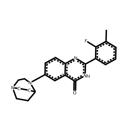 Cc1cccc(-c2nc3ccc(N4CCN5CCC4CC5)cc3c(=O)[nH]2)c1F